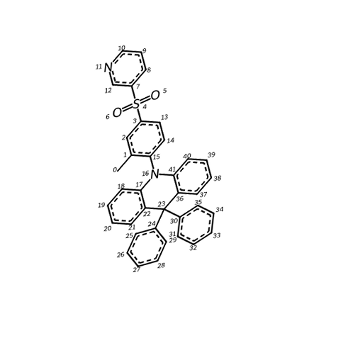 Cc1cc(S(=O)(=O)c2cccnc2)ccc1N1c2ccccc2C(c2ccccc2)(c2ccccc2)c2ccccc21